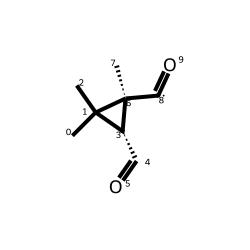 CC1(C)[C@@H](C=O)[C@]1(C)[C]=O